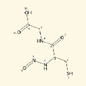 O=NNC(CS)C(=O)NCC(=O)O